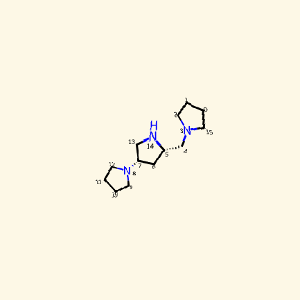 C1CCN(C[C@@H]2C[C@H](N3CCCC3)CN2)C1